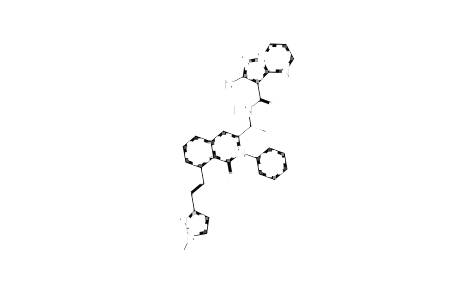 C[C@H](NC(=O)c1c(N)nn2cccnc12)c1cc2cccc(/C=C/c3ccn(C)n3)c2c(=O)n1-c1ccccc1